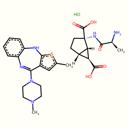 C[C@H](N)C(=O)N[C@@]1(C(=O)O)CC[C@H]2[C@H](C(=O)O)[C@H]21.Cc1cc2c(s1)Nc1ccccc1N=C2N1CCN(C)CC1.Cl